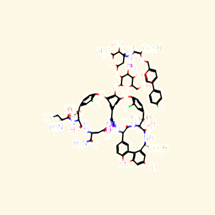 CC(C)C[C@@H](N)C(=O)NC1C(=O)NC(C(N)=O)CC(=O)N[C@H]2C(=O)NC3C(=O)N[C@H](C(=O)N[C@@H](C(=O)O)c4cc(O)cc(O)c4-c4cc3ccc4O)[C@H](O)c3ccc(c(Cl)c3)Oc3cc2cc(c3OC2OC(CO)C(O)C(O)C2OC2CC(C)(NCC(OCc3ccc(-c4ccc(Cl)cc4)cc3)C(=O)O)C(O)C(C)O2)Oc2ccc(cc2Cl)[C@H]1O